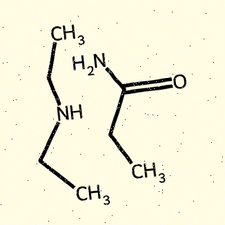 CCC(N)=O.CCNCC